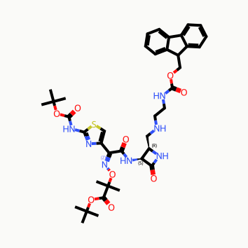 CC(C)(C)OC(=O)Nc1nc(/C(=N/OC(C)(C)C(=O)OC(C)(C)C)C(=O)N[C@@H]2C(=O)N[C@@H]2CNCCNC(=O)OCC2c3ccccc3-c3ccccc32)cs1